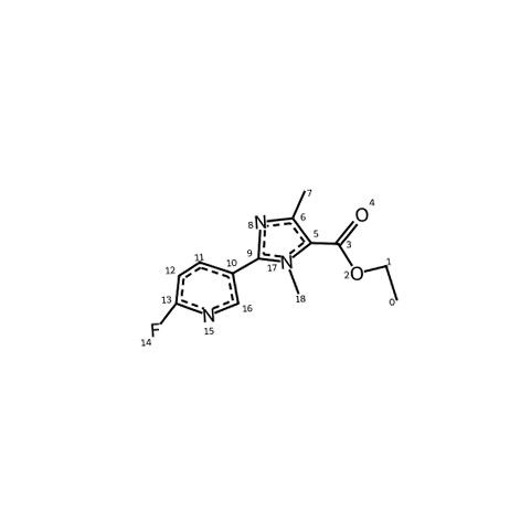 CCOC(=O)c1c(C)nc(-c2ccc(F)nc2)n1C